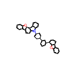 C1=CC(c2cccc(-c3cccc4c3oc3ccccc34)c2)CC=C1n1c2ccccc2c2c3oc4ccccc4c3ccc21